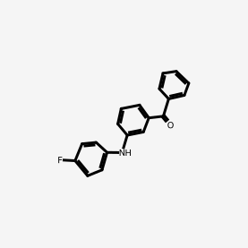 O=C(c1ccccc1)c1cccc(Nc2ccc(F)cc2)c1